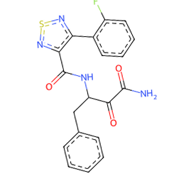 NC(=O)C(=O)C(Cc1ccccc1)NC(=O)c1nsnc1-c1ccccc1F